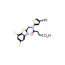 CCCc1csc(N(Cc2nc3cc(F)cc(F)c3s2)C(=O)CCC(=O)O)c1